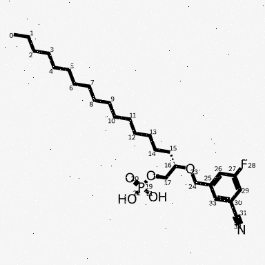 CCCCCCCCCCCCCCCC[C@@H](COP(=O)(O)O)OCc1cc(F)cc(C#N)c1